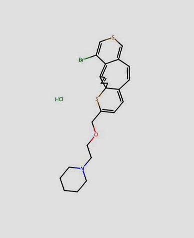 BrC1=CSC=C2C=CC3=CC=C(COCCN4CCCCC4)SC34CC=CC4=C12.Cl